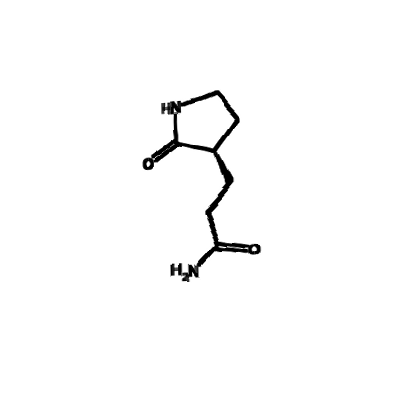 NC(=O)CC[C@@H]1CCNC1=O